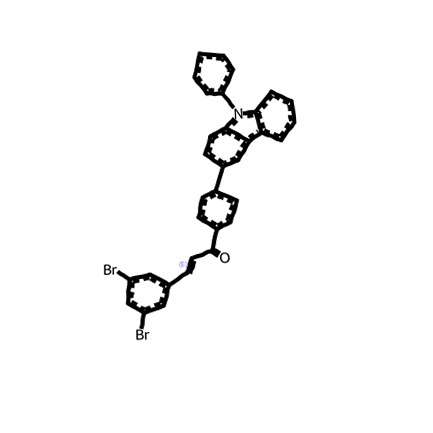 O=C(/C=C/c1cc(Br)cc(Br)c1)c1ccc(-c2ccc3c(c2)c2ccccc2n3-c2ccccc2)cc1